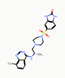 C[C@@H](CN1CCN(S(=O)(=O)c2ccc3[nH]c(=O)[nH]c3c2)CC1)Nc1ncnc2c(C(F)(F)F)cccc12